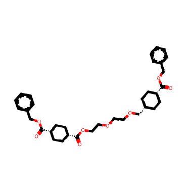 O=C(OCc1ccccc1)[C@H]1CC[C@@H](COCCOCCOC(=O)[C@H]2CC[C@@H](C(=O)OCc3ccccc3)CC2)CC1